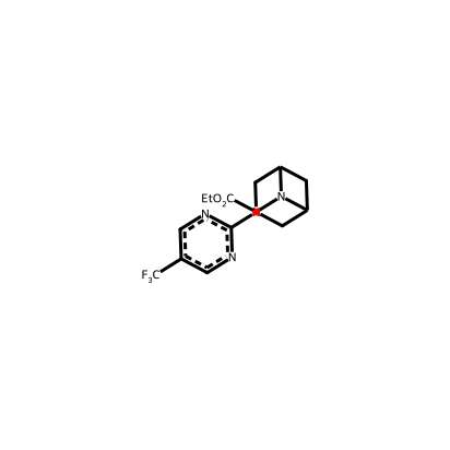 CCOC(=O)CN1C2CC1CN(c1ncc(C(F)(F)F)cn1)C2